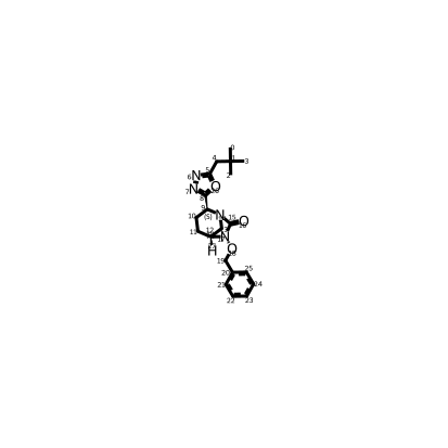 CC(C)(C)Cc1nnc([C@@H]2CC[C@@H]3CN2C(=O)N3OCc2ccccc2)o1